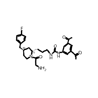 CC(=O)c1cc(NC(=O)NCCC[C@H]2C[C@H](Cc3ccc(F)cc3)CCN2C(=O)CN)cc(C(C)=O)c1